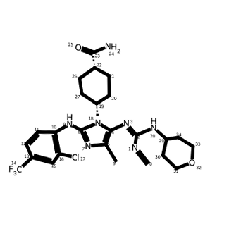 C=N/C(=N\c1c(C)nc(Nc2ccc(C(F)(F)F)cc2Cl)n1[C@H]1CC[C@@H](C(N)=O)CC1)NC1CCOCC1